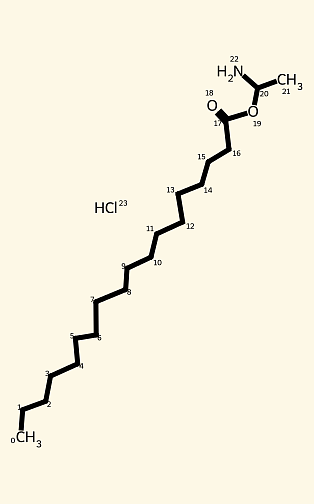 CCCCCCCCCCCCCCCCCC(=O)OC(C)N.Cl